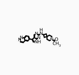 CC(=O)N1CCC2(CC1)CC(Nc1ncc3c(-c4ccc5nnccc5c4)c[nH]c3n1)C2